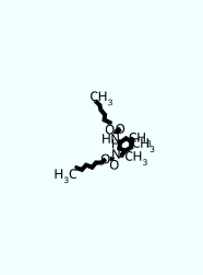 CCCCCCCOC(=O)NCC1(C)CC(NC(=O)OCCCCCCC)CC(C)(C)C1